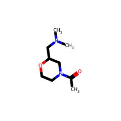 CC(=O)N1CCOC(CN(C)C)C1